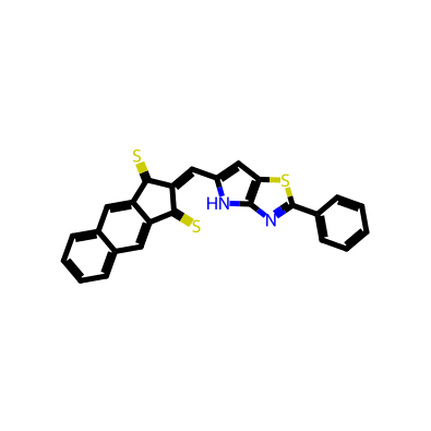 S=C1C(=Cc2cc3sc(-c4ccccc4)nc3[nH]2)C(=S)c2cc3ccccc3cc21